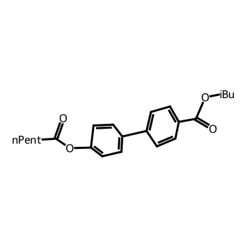 CCCCCC(=O)Oc1ccc(-c2ccc(C(=O)OC(C)CC)cc2)cc1